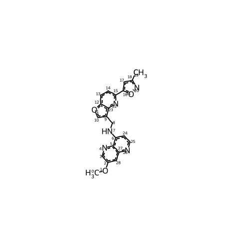 COc1cnc2c(NCc3coc4ccc(-c5cc(C)no5)nc34)ccnc2c1